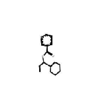 CCC(OC(=O)c1cccnc1)C1CCCCC1